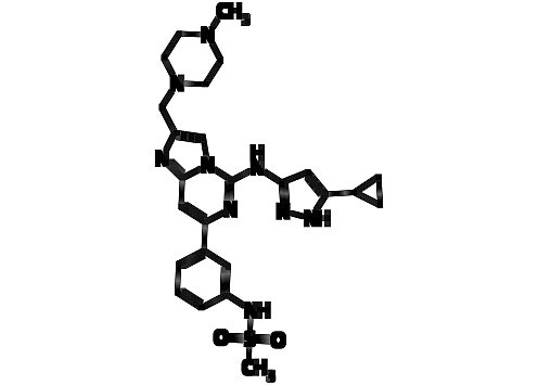 CN1CCN(Cc2cn3c(Nc4cc(C5CC5)[nH]n4)nc(-c4cccc(NS(C)(=O)=O)c4)cc3n2)CC1